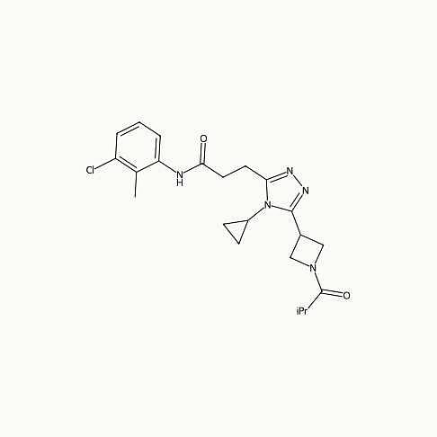 Cc1c(Cl)cccc1NC(=O)CCc1nnc(C2CN(C(=O)C(C)C)C2)n1C1CC1